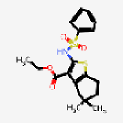 CCOC(=O)c1c(NS(=O)(=O)c2ccccc2)sc2c1CC(C)(C)CC2